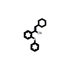 N#C/C(=C\C1CCCCC1)c1ccccc1Sc1ccccc1